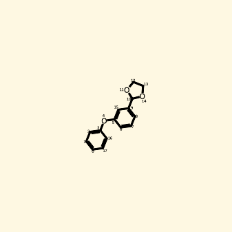 c1ccc(Oc2cccc(C3OCCO3)c2)cc1